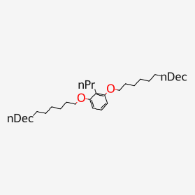 [CH2]CCc1c(OCCCCCCCCCCCCCCCC)cccc1OCCCCCCCCCCCCCCCC